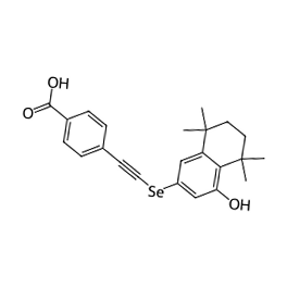 CC1(C)CCC(C)(C)c2c(O)cc([Se]C#Cc3ccc(C(=O)O)cc3)cc21